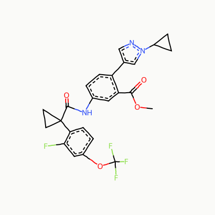 COC(=O)c1cc(NC(=O)C2(c3ccc(OC(F)(F)F)cc3F)CC2)ccc1-c1cnn(C2CC2)c1